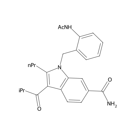 CCCc1c(C(=O)C(C)C)c2ccc(C(N)=O)cc2n1Cc1ccccc1NC(C)=O